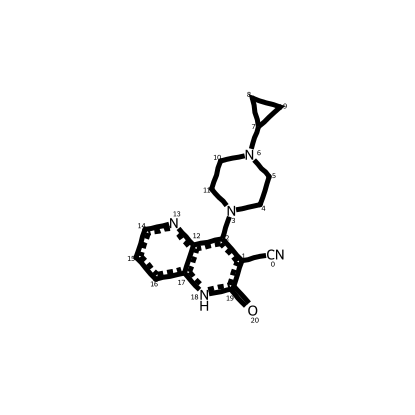 N#Cc1c(N2CCN(C3CC3)CC2)c2ncccc2[nH]c1=O